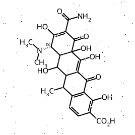 CC1c2ccc(C(=O)O)c(O)c2C(=O)C2=C(O)C3(O)C(=O)C(C(N)=O)=C(O)[C@@H](N(C)C)C3C(O)C21